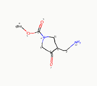 CC(C)(C)OC(=O)N1CC(=O)C(CN)C1